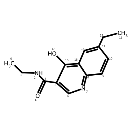 CCNC(=O)c1cnc2ccc(CC)cc2c1O